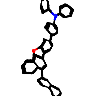 c1ccc(N(c2ccccc2)c2ccc(-c3ccc4c(c3)oc3c5ccccc5c(-c5ccc6ccccc6c5)cc43)cc2)cc1